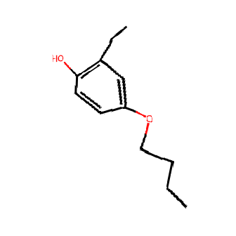 CCCCOc1ccc(O)c(CC)c1